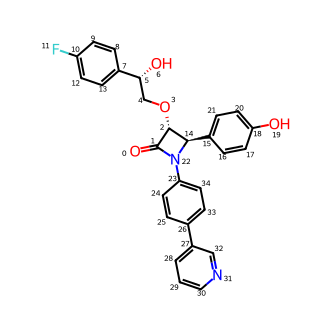 O=C1[C@H](OC[C@@H](O)c2ccc(F)cc2)[C@@H](c2ccc(O)cc2)N1c1ccc(-c2cccnc2)cc1